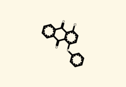 O=C1c2ccccc2C(=O)c2c(Sc3ccccc3)ccc(Cl)c21